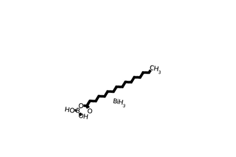 CCCCCCCCCCCCCCCC(=O)OB(O)O.[BiH3]